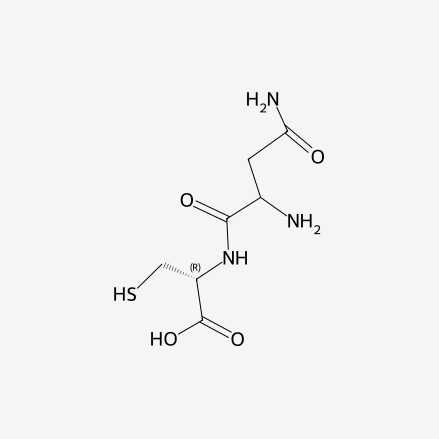 NC(=O)CC(N)C(=O)N[C@@H](CS)C(=O)O